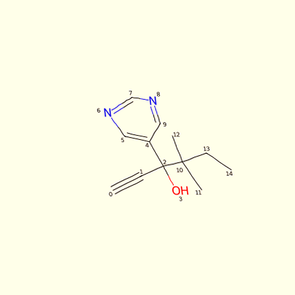 C#CC(O)(c1cncnc1)C(C)(C)CC